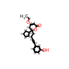 CCOC1=CC(=O)OC(CCC#Cc2cccc(O)c2)(C2CCCC2)C1